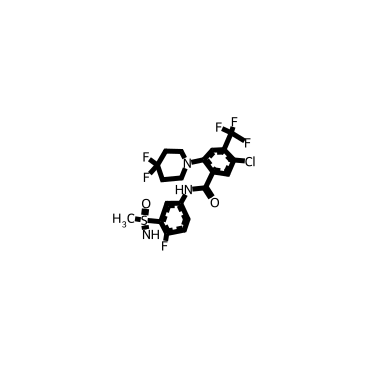 CS(=N)(=O)c1cc(NC(=O)c2cc(Cl)c(C(F)(F)F)cc2N2CCC(F)(F)CC2)ccc1F